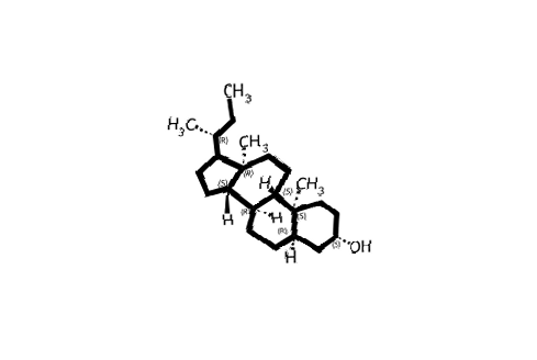 CC[C@@H](C)C1CC[C@H]2[C@@H]3CC[C@@H]4C[C@@H](O)CC[C@]4(C)[C@H]3CC[C@]12C